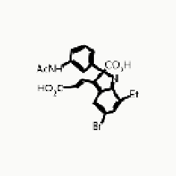 CCc1cc(Br)cc2c1=NC(C(=O)O)(c1cccc(NC(C)=O)c1)C=2C=CC(=O)O